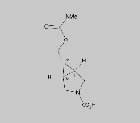 CNC(=O)OC[C@@H]1[C@H]2CN(C(=O)O)C[C@@H]12